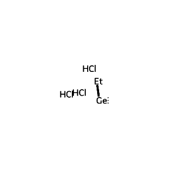 C[CH2][Ge].Cl.Cl.Cl